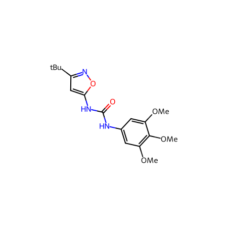 COc1cc(NC(=O)Nc2cc(C(C)(C)C)no2)cc(OC)c1OC